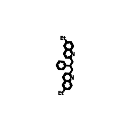 CCc1ccc2nc(CC(Cc3ccc4cc(CC)ccc4n3)c3ccccc3)ccc2c1